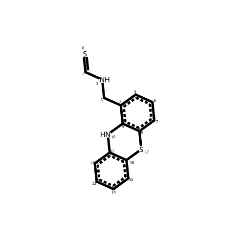 S=CNCc1cccc2c1Nc1ccccc1S2